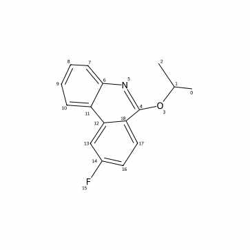 CC(C)Oc1nc2ccccc2c2cc(F)ccc12